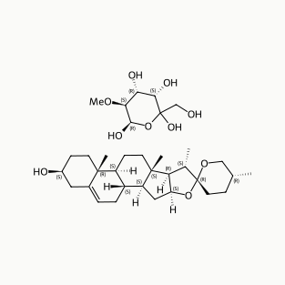 CO[C@H]1[C@H](O)[C@H](O)C(O)(CO)O[C@H]1O.C[C@@H]1CC[C@@]2(OC1)O[C@H]1C[C@H]3[C@@H]4CC=C5C[C@@H](O)CC[C@]5(C)[C@H]4CC[C@]3(C)[C@H]1[C@@H]2C